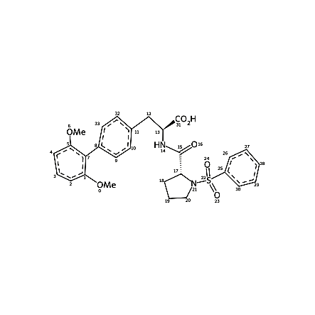 COc1cccc(OC)c1-c1ccc(C[C@H](NC(=O)[C@H]2CCCN2S(=O)(=O)c2ccccc2)C(=O)O)cc1